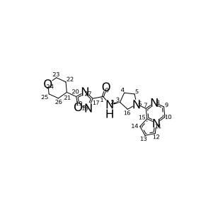 O=C(N[C@H]1CCN(c2nccn3cccc23)C1)c1noc(C2CCOCC2)n1